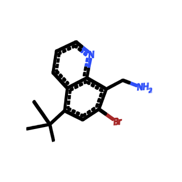 CC(C)(C)c1cc(Br)c(CN)c2ncccc12